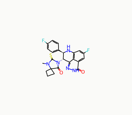 CN1C(=S)N([C@H]2c3n[nH]c(=O)c4cc(F)cc(c34)N[C@@H]2c2ccc(F)cc2)C(=O)C12CCC2